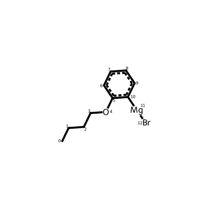 CCCCOc1cccc[c]1[Mg][Br]